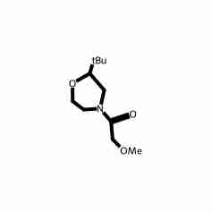 COCC(=O)N1CCOC(C(C)(C)C)C1